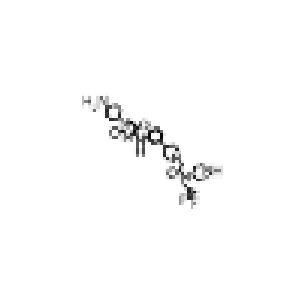 N[C@H]1CC[C@H](n2cc3c(nc2=O)Nc2cc(C4CCN(CC(=O)N(CC5CC5(F)F)C5CCNCC5)CC4)ccc2O3)CC1